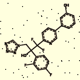 Oc1cccc(-c2ccc(C(F)(F)C(O)(Cn3cnnn3)c3ccc(F)cc3F)nc2)c1